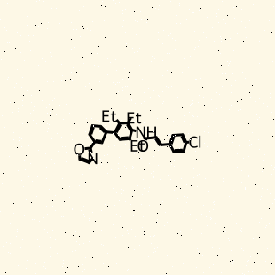 CCc1cc(-c2cccc(-c3ncco3)c2)c(CC)c(CC)c1NC(=O)C=Cc1ccc(Cl)cc1